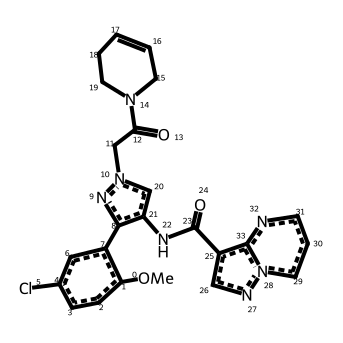 COc1ccc(Cl)cc1-c1nn(CC(=O)N2CC=CCC2)cc1NC(=O)c1cnn2cccnc12